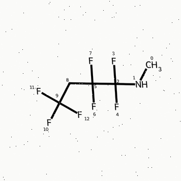 CNC(F)(F)C(F)(F)CC(F)(F)F